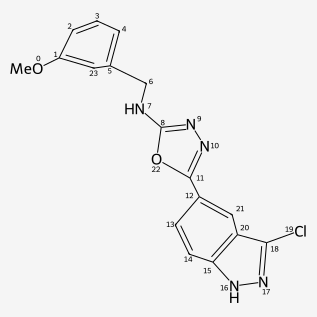 COc1cccc(CNc2nnc(-c3ccc4[nH]nc(Cl)c4c3)o2)c1